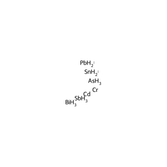 [AsH3].[BiH3].[Cd].[Cr].[PbH2].[SbH3].[SnH2]